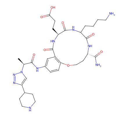 C[C@@H](C(=O)Nc1ccc2c(c1)C(=O)N[C@@H](CCC(=O)O)C(=O)NC(CCCCN)C(=O)N[C@H](C(N)=O)CCO2)n1cc(C2CCNCC2)nn1